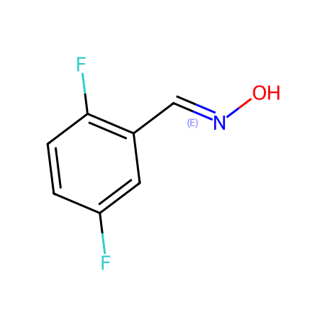 O/N=C/c1cc(F)ccc1F